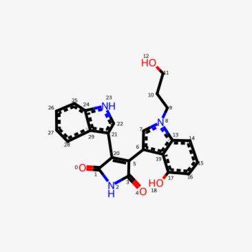 O=C1NC(=O)C(c2cn(CCCO)c3cccc(O)c23)=C1c1c[nH]c2ccccc12